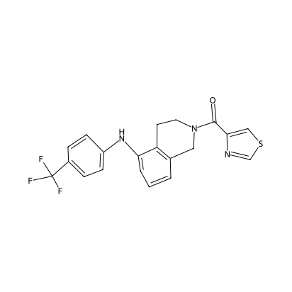 O=C(c1cscn1)N1CCc2c(cccc2Nc2ccc(C(F)(F)F)cc2)C1